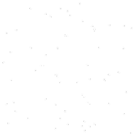 COCCN(C)C(=O)c1ccc(C=Cc2n[nH]c3ccccc23)c(NC(=O)c2sccc2C)c1